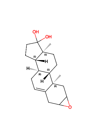 C[C@]12CC3OC3CC1=CC[C@@H]1[C@@H]2CC[C@@]2(C)[C@H]1CCC2(O)O